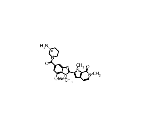 COc1cc(C(=O)N2CCC[C@@H](N)C2)cc2nc(-c3cc4ccn(C)c(=O)c4n3C)n(C)c12